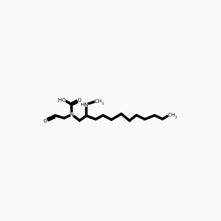 CCCCCCCCCCC(CN(CC=O)C(=O)O)NC